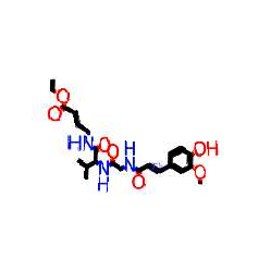 CCOC(=O)CCCNC(=O)C(NC(=O)CNC(=O)/C=C/c1ccc(O)c(OC)c1)C(C)C